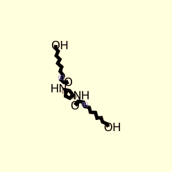 O=C(/C=C/CCCCCCCO)N[C@@H]1CC[C@H](NC(=O)/C=C/CCCCCCCO)C1